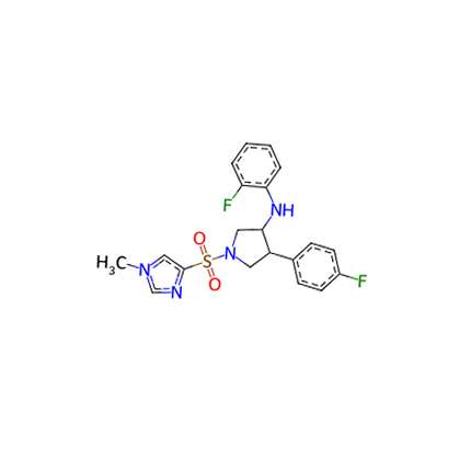 Cn1cnc(S(=O)(=O)N2CC(Nc3ccccc3F)C(c3ccc(F)cc3)C2)c1